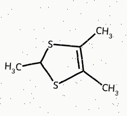 CC1=C(C)SC(C)S1